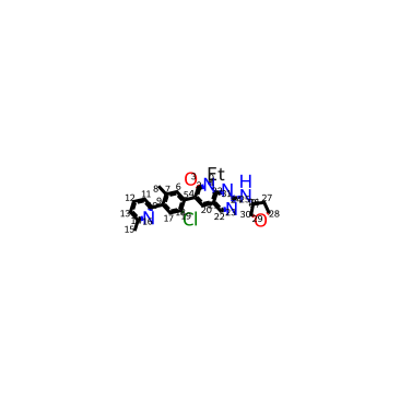 CCn1c(=O)c(-c2cc(C)c(-c3cccc(C)n3)cc2Cl)cc2cnc(N[C@@H]3CCOC3)nc21